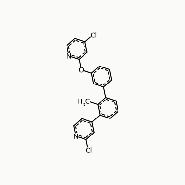 Cc1c(-c2cccc(Oc3cc(Cl)ccn3)c2)cccc1-c1ccnc(Cl)c1